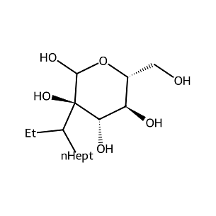 CCCCCCCC(CC)[C@]1(O)C(O)O[C@H](CO)[C@@H](O)[C@@H]1O